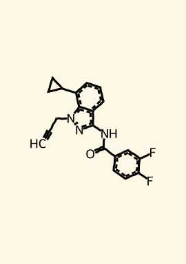 C#CCn1nc(NC(=O)c2ccc(F)c(F)c2)c2cccc(C3CC3)c21